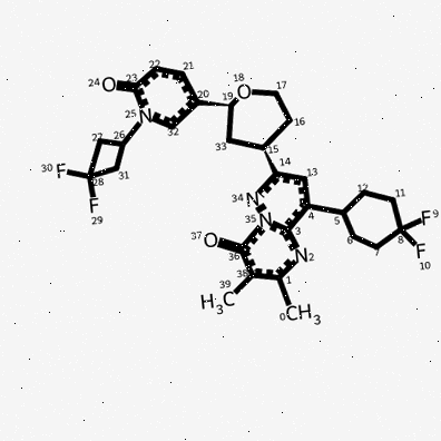 Cc1nc2c(C3CCC(F)(F)CC3)cc([C@@H]3CCO[C@H](c4ccc(=O)n(C5CC(F)(F)C5)c4)C3)nn2c(=O)c1C